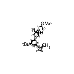 COC(=O)C[C@@H]1[C@H]2CN(c3cc(C(C)(C)C)nc(N4CC[C@@H]4C)n3)C[C@@H]12